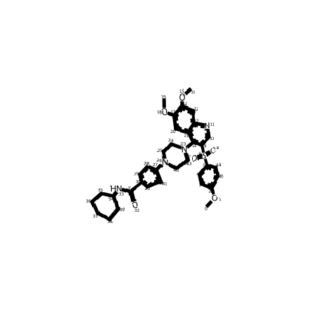 COc1ccc(S(=O)(=O)c2cnc3cc(OC)c(OC)cc3c2N2CCN(c3ccc(C(=O)NC4CCCCC4)cc3)CC2)cc1